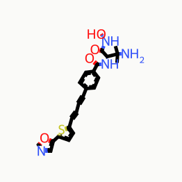 CC(C)(N)[C@H](NC(=O)c1ccc(C#CC#Cc2ccc(-c3cnco3)s2)cc1)C(=O)NO